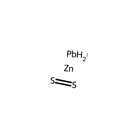 S=S.[PbH2].[Zn]